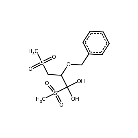 CS(=O)(=O)CC(OCc1ccccc1)C(O)(O)S(C)(=O)=O